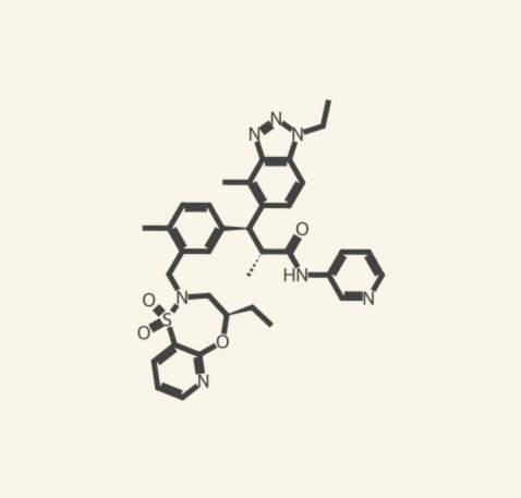 CC[C@@H]1CN(Cc2cc([C@@H](c3ccc4c(nnn4CC)c3C)[C@@H](C)C(=O)Nc3cccnc3)ccc2C)S(=O)(=O)c2cccnc2O1